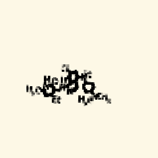 CCc1cc(C)[nH]c(=O)c1CNc1nccc2c(N(CC)C3CCC(N(C)C)CC3)cc(Cl)cc12